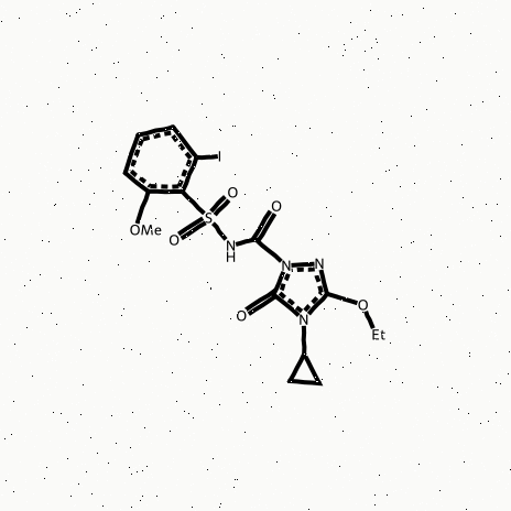 CCOc1nn(C(=O)NS(=O)(=O)c2c(I)cccc2OC)c(=O)n1C1CC1